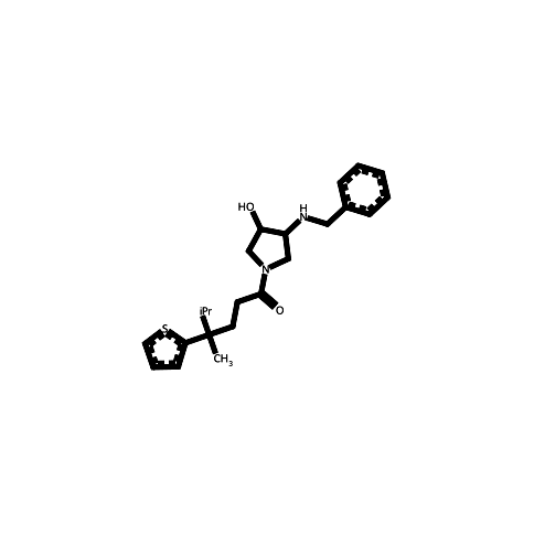 CC(C)C(C)(CCC(=O)N1CC(O)C(NCc2ccccc2)C1)c1cccs1